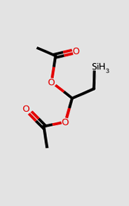 CC(=O)OC(C[SiH3])OC(C)=O